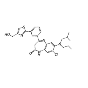 CCCN(CC(C)C)c1cc2c(cc1Cl)NC(=O)CC(c1cccc(-c3nc(CO)cs3)c1)=N2